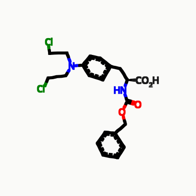 O=C(N[C@@H](Cc1ccc(N(CCCl)CCCl)cc1)C(=O)O)OCc1ccccc1